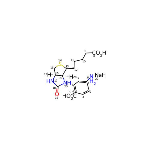 Nc1ccc(C(=O)O)cc1.O=C(O)CCCC[C@@H]1SC[C@@H]2NC(=O)N[C@@H]21.[NaH]